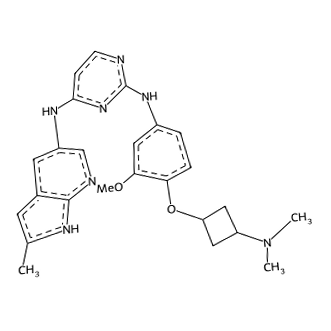 COc1cc(Nc2nccc(Nc3cnc4[nH]c(C)cc4c3)n2)ccc1OC1CC(N(C)C)C1